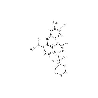 COc1cc(Nc2c(C(N)=O)cnc3c(S(=O)(=O)N4CCOCC4)cc(C)cc23)ccc1F